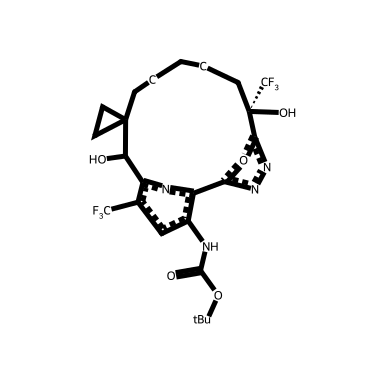 CC(C)(C)OC(=O)Nc1cc(C(F)(F)F)c2nc1-c1nnc(o1)[C@@](O)(C(F)(F)F)CCCCCC1(CC1)C2O